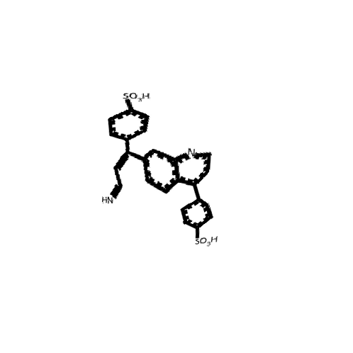 N=C/C=C(/c1ccc(S(=O)(=O)O)cc1)c1ccc2c(-c3ccc(S(=O)(=O)O)cc3)ccnc2c1